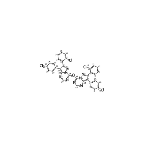 Clc1ccc(-c2c(-c3ccccc3Cl)nn3c(Oc4ncnc5c(-c6ccc(Cl)cc6)c(-c6ccccc6Cl)nn45)ncnc23)cc1